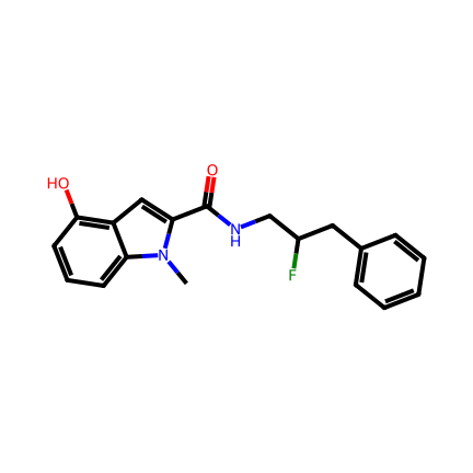 Cn1c(C(=O)NCC(F)Cc2ccccc2)cc2c(O)cccc21